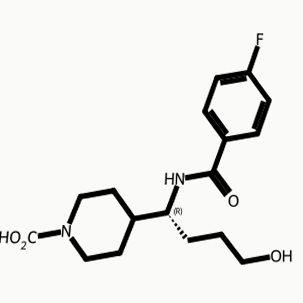 O=C(N[C@H](CCCO)C1CCN(C(=O)O)CC1)c1ccc(F)cc1